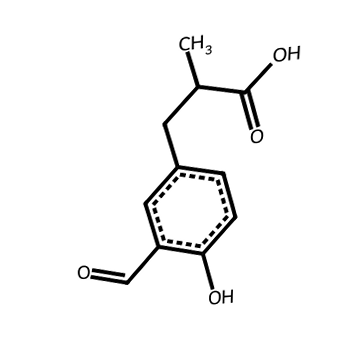 CC(Cc1ccc(O)c(C=O)c1)C(=O)O